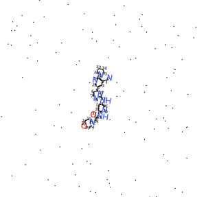 N#Cc1cc(-c2ccnc(Nc3ccc(NC(=O)CN4CCOCC4)nc3)n2)cnc1N1CCCC1